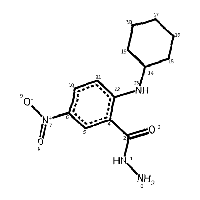 NNC(=O)c1cc([N+](=O)[O-])ccc1NC1CCCCC1